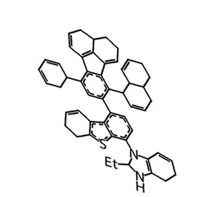 CCC1NC2=C(C=CCC2)N1c1ccc(-c2cc(C3C=CC=CC3)c3c(c2C2C=CCC4CCC=CC42)C2=CCCC4CC=CC3=C24)c2c3c(sc12)CCC=C3